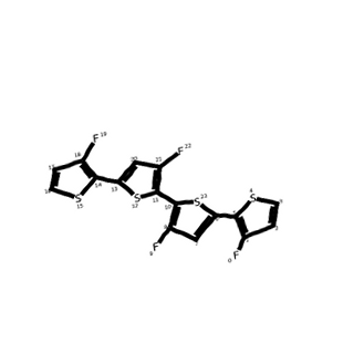 Fc1ccsc1-c1cc(F)c(-c2sc(-c3sccc3F)cc2F)s1